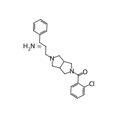 N[C@@H](CCN1CC2CN(C(=O)c3ccccc3Cl)CC2C1)c1ccccc1